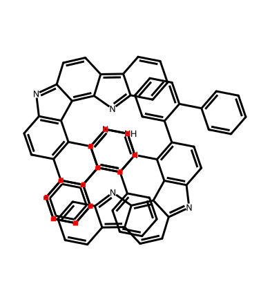 c1ccc(C2=C(c3ccccc3)N(c3c(-c4ccccc4-c4ccccc4)ccc4c3-c3c5c(ccc3=N4)=c3ccccc3=N5)NN=C2c2c(-c3ccccc3-c3ccccc3)ccc3c2-c2c4c(ccc2=N3)=c2ccccc2=N4)cc1